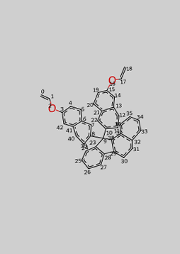 C=COc1ccc2cc(C3(c4ccc5cc(OC=C)ccc5c4)c4ccccc4-c4ccc5ccccc5c43)ccc2c1